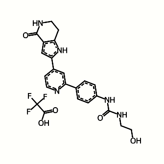 O=C(NCCO)Nc1ccc(-c2cc(-c3cc4c([nH]3)CCNC4=O)ccn2)cc1.O=C(O)C(F)(F)F